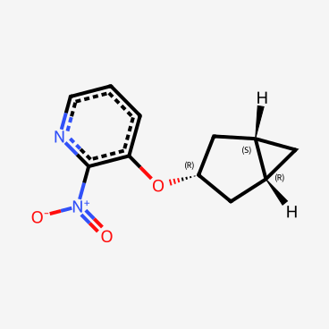 O=[N+]([O-])c1ncccc1O[C@@H]1C[C@@H]2C[C@@H]2C1